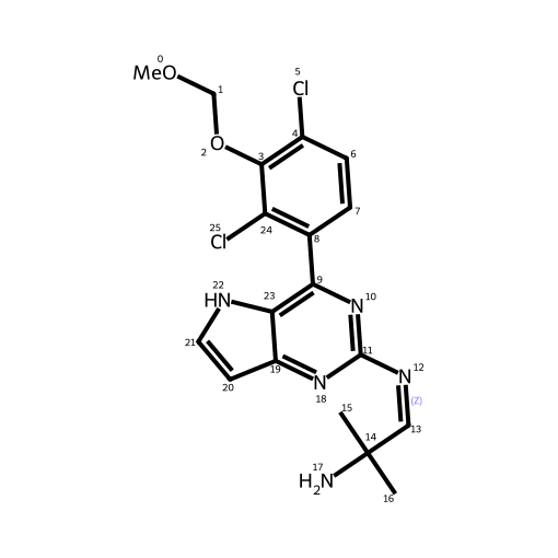 COCOc1c(Cl)ccc(-c2nc(/N=C\C(C)(C)N)nc3cc[nH]c23)c1Cl